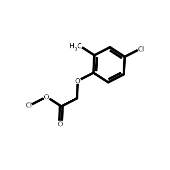 Cc1cc(Cl)ccc1OCC(=O)OCl